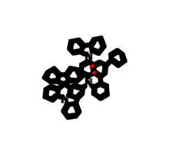 c1ccc(-c2cccc(-c3ccccc3N(c3ccc(-n4c5ccccc5c5ccccc54)cc3)c3cc4c5c(c3)c3ccccc3n5-c3ccccc3C43c4ccccc4-c4ccccc43)c2)cc1